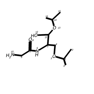 CC(C)OCC(NC(=O)CN)C(O)OC(C)C